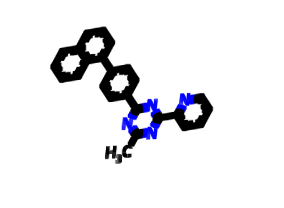 Cc1nc(-c2ccc(-c3cccc4ccccc34)cc2)nc(-c2ccccn2)n1